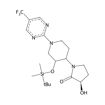 CC(C)(C)[Si](C)(C)OC1CN(c2ncc(C(F)(F)F)cn2)CCC1N1CC[C@@H](O)C1=O